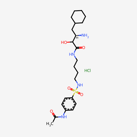 CC(=O)Nc1ccc(S(=O)(=O)NCCCCNC(=O)C(O)[C@H](N)CC2CCCCC2)cc1.Cl